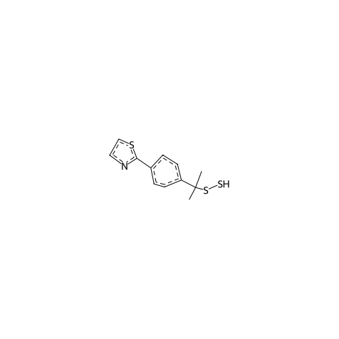 CC(C)(SS)c1ccc(-c2nccs2)cc1